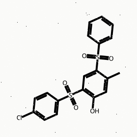 Cc1cc(O)c(S(=O)(=O)c2ccc(Cl)cc2)cc1S(=O)(=O)c1ccccc1